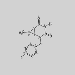 CCN1C(=O)C2C(N(Cc3ccc(C)cc3)C1=O)N2N